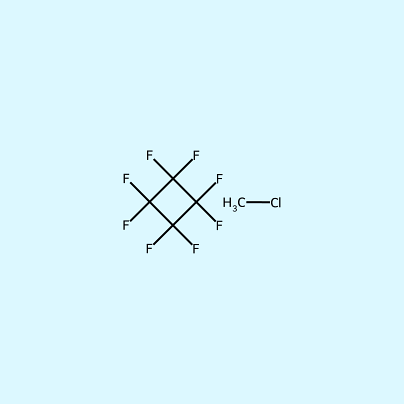 CCl.FC1(F)C(F)(F)C(F)(F)C1(F)F